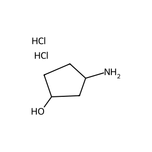 Cl.Cl.NC1CCC(O)C1